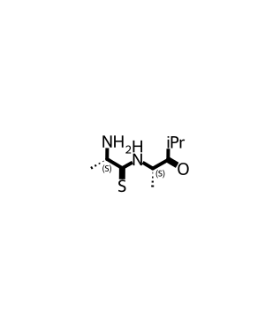 CC(C)C(=O)[C@H](C)NC(=S)[C@H](C)N